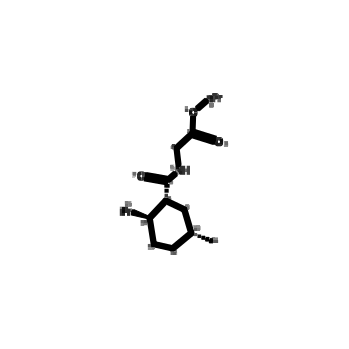 CCCOC(=O)CNC(=O)[C@@H]1C[C@H](C)CC[C@H]1C(C)C